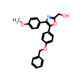 COc1ccc(-c2nc(CO)oc2-c2ccc(OCc3ccccc3)cc2)cc1